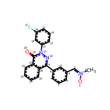 C/[N+]([O-])=C/c1cccc(-c2nn(-c3cccc(F)c3)c(=O)c3ccccc23)c1